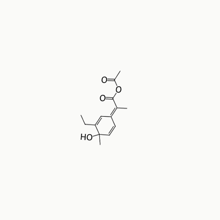 CCC1=CC(=C(C)C(=O)OC(C)=O)C=CC1(C)O